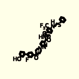 O=C(NS(=O)(=O)c1ccc(NCCSc2ccccc2)c(C(F)(F)F)c1)c1ccc(N2CCN(C(=O)c3ccc(-c4cccc(O)c4)c(F)c3)CC2)nn1